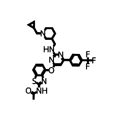 CC(=O)Nc1nc2c(Oc3cc(-c4ccc(C(F)(F)F)cc4)nc(NCC4CCCN(CC5CC5)C4)n3)cccc2s1